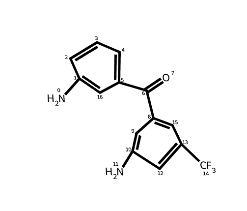 Nc1cccc(C(=O)c2cc(N)cc(C(F)(F)F)c2)c1